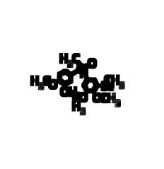 C=C1C(=O)N(c2cc(OC)c(OC)c([Se]C)c2)C1c1ccc(OC)c(O)c1